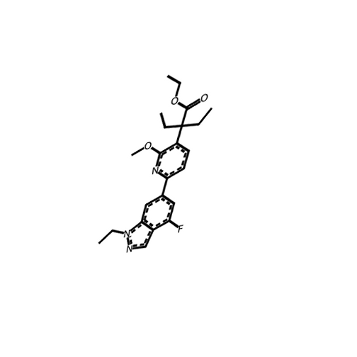 CCOC(=O)C(CC)(CC)c1ccc(-c2cc(F)c3cnn(CC)c3c2)nc1OC